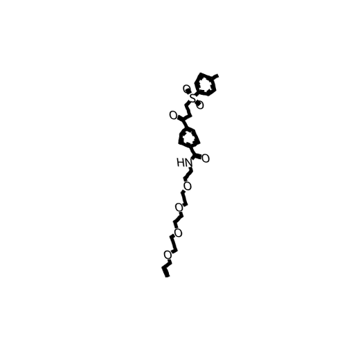 C=CCOCCOCCOCCOCCNC(=O)c1ccc(C(=O)CCS(=O)(=O)c2ccc(C)cc2)cc1